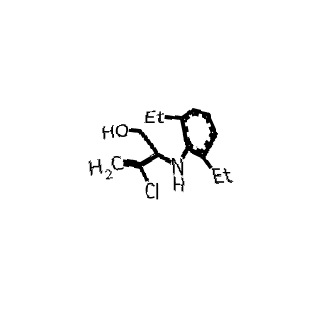 C=C(Cl)C(CO)Nc1c(CC)cccc1CC